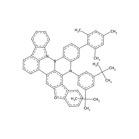 Cc1cc(C)c(-c2ccc3c(c2)N(c2cc(C(C)(C)C)cc(C(C)(C)C)c2)c2c4c(cc5oc6ccccc6c25)-c2cccc5c6ccccc6n(c25)B34)c(C)c1